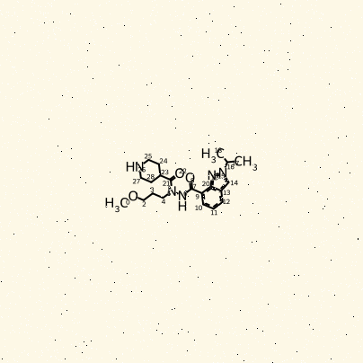 COCCCN(NC(=O)c1cccc2cn(C(C)C)nc12)C(=O)C1CCNCC1